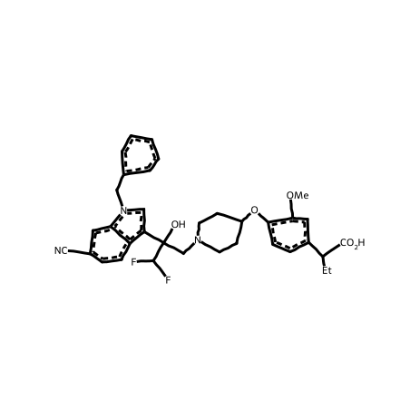 CCC(C(=O)O)c1ccc(OC2CCN(CC(O)(c3cn(Cc4ccccc4)c4cc(C#N)ccc34)C(F)F)CC2)c(OC)c1